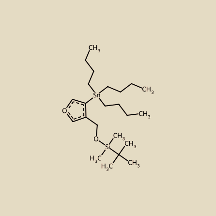 CCC[CH2][Sn]([CH2]CCC)([CH2]CCC)[c]1cocc1CO[Si](C)(C)C(C)(C)C